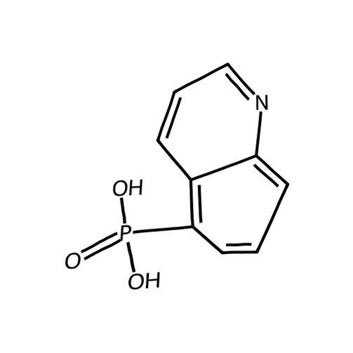 O=P(O)(O)c1cccc2ncccc12